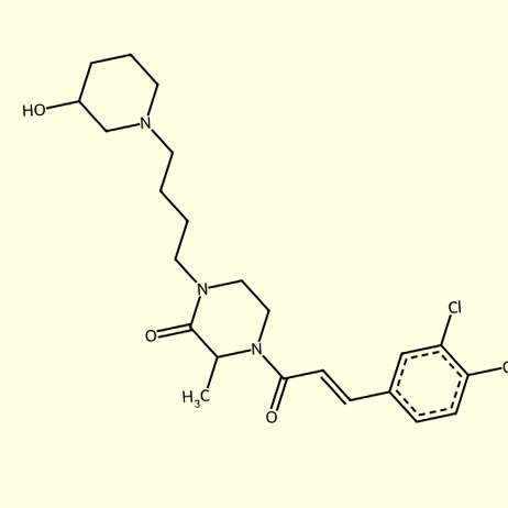 CC1C(=O)N(CCCCN2CCCC(O)C2)CCN1C(=O)/C=C/c1ccc(Cl)c(Cl)c1